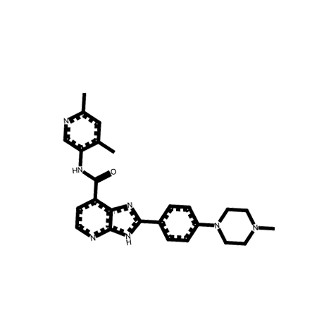 Cc1cc(C)c(NC(=O)c2ccnc3[nH]c(-c4ccc(N5CCN(C)CC5)cc4)nc23)cn1